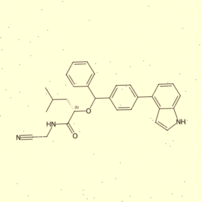 CC(C)C[C@H](OC(c1ccccc1)c1ccc(-c2cccc3[nH]ccc23)cc1)C(=O)NCC#N